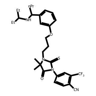 CCCC(NC(CC)CC)c1cccc(OCCCN2C(=S)N(c3ccc(C#N)c(C(F)(F)F)c3)C(=O)C2(C)C)c1